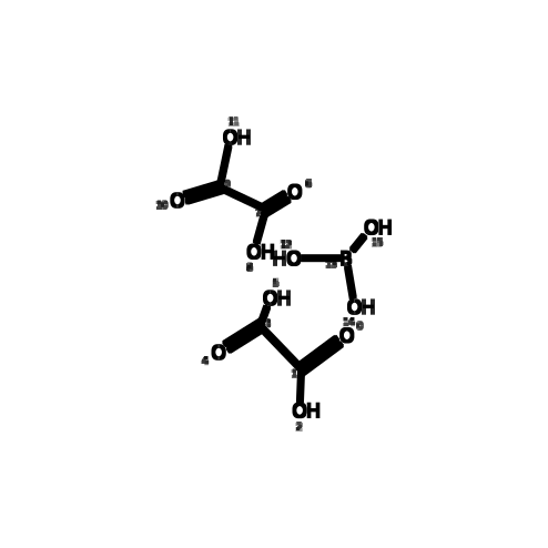 O=C(O)C(=O)O.O=C(O)C(=O)O.OB(O)O